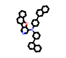 c1cc(-c2cccc3ccccc23)cc(N(c2ccc(-c3ccc4ccccc4c3)cc2)c2cncc3c2oc2c4ccccc4ccc32)c1